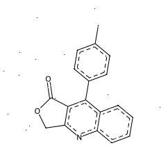 Cc1ccc(-c2c3c(nc4ccccc24)COC3=O)cc1